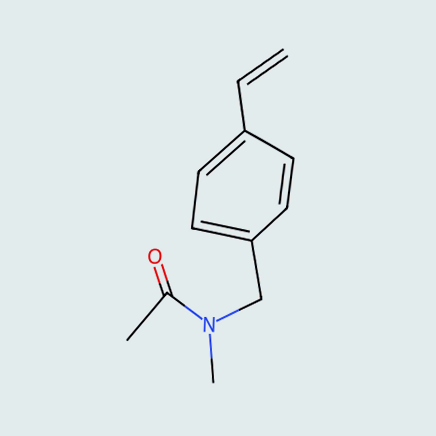 C=Cc1ccc(CN(C)C(C)=O)cc1